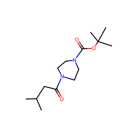 CC(C)CC(=O)N1CCN(C(=O)OC(C)(C)C)CC1